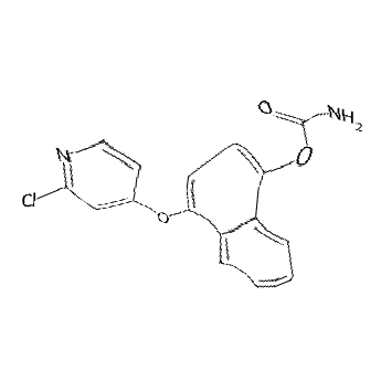 NC(=O)Oc1ccc(Oc2ccnc(Cl)c2)c2ccccc12